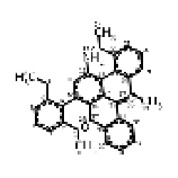 CCc1cccc(CC)c1-c1cc(N)c(-c2c(CC)cccc2CC)c2c1C(=O)c1ccccc1C2=O